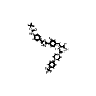 CC(C)(C)OC(=O)Nc1ccc(-c2nc(-c3ccc(CC(NC(=O)N4CCN(c5ccc(C(F)(F)F)cc5)CC4)C(=O)O)cc3F)no2)cc1